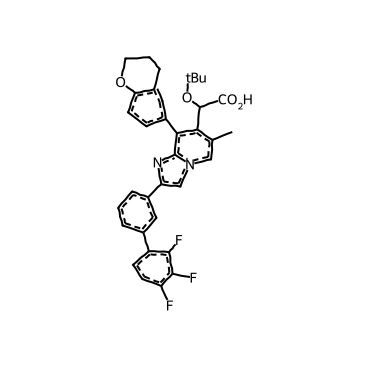 Cc1cn2cc(-c3cccc(-c4ccc(F)c(F)c4F)c3)nc2c(-c2ccc3c(c2)CCCO3)c1C(OC(C)(C)C)C(=O)O